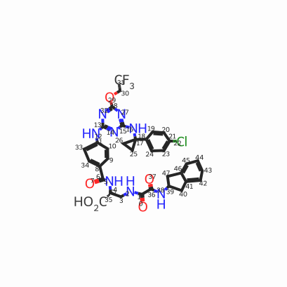 O=C(NC[C@H](NC(=O)c1ccc(Nc2nc(NC3(c4ccc(Cl)cc4)CC3)nc(OCC(F)(F)F)n2)cc1)C(=O)O)C(=O)NC1Cc2ccccc2C1